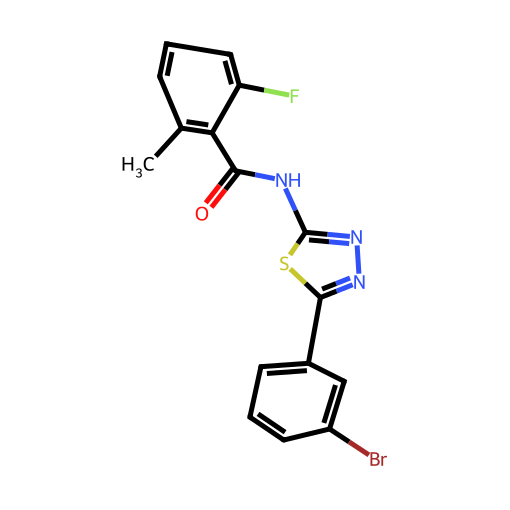 Cc1cccc(F)c1C(=O)Nc1nnc(-c2cccc(Br)c2)s1